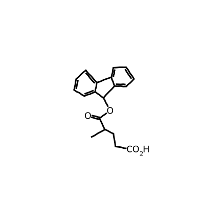 CC(CCC(=O)O)C(=O)OC1c2ccccc2-c2ccccc21